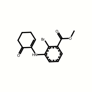 COC(=O)c1cccc(NC2=CCCCC2=O)c1Br